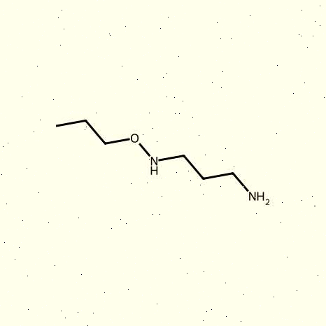 CCCONCCCN